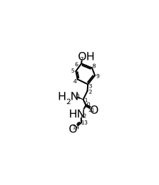 N[C@@H](Cc1ccc(O)cc1)C(=O)N[C]=O